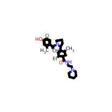 C=C(c1cc(Cl)c(O)cc1C)N1CCCC1C1=CC(CC)C(C(=O)NCCN2CCCCC2)CC1C